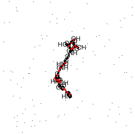 Cc1cc(OCCCC(=O)NCCNC(=O)COCCOCCNC(=O)CN2CCN(CC(=O)O)CCN(CC(=O)O)CCN(CC(=O)O)CC2)cc(C)c1S(=O)(=O)NC(CNC(=O)c1ccc(CCc2ccc3c(n2)NCCC3)cc1)C(=O)O